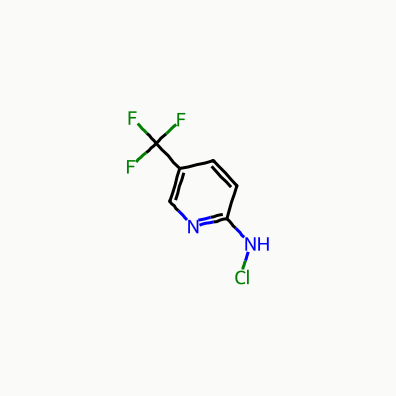 FC(F)(F)c1ccc(NCl)nc1